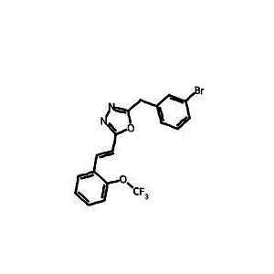 FC(F)(F)Oc1ccccc1/C=C/c1nnc(Cc2cccc(Br)c2)o1